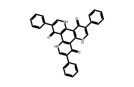 O=c1c(-c2ccccc2)c[nH]c2c1c1[nH]cc(-c3ccccc3)c(=O)c1c1[nH]cc(-c3ccccc3)c(=O)c21